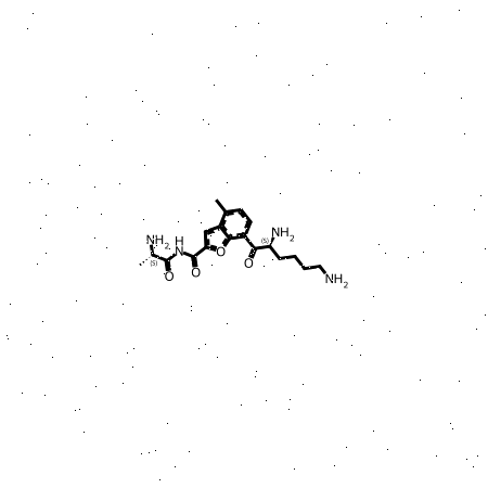 Cc1ccc(C(=O)[C@@H](N)CCCCN)c2oc(C(=O)NC(=O)[C@H](C)N)cc12